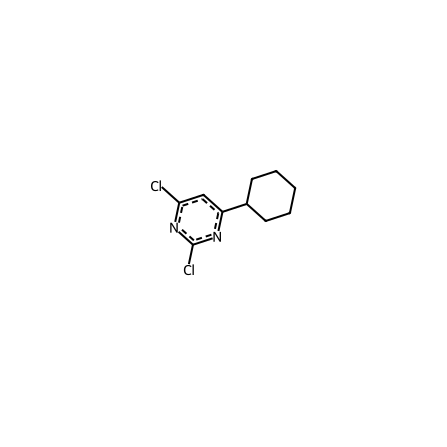 Clc1cc(C2CCCCC2)nc(Cl)n1